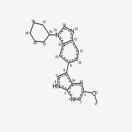 COc1cnc2[nH]cc(-c3ccc4ncn(C5CCCCC5)c4c3)c2c1